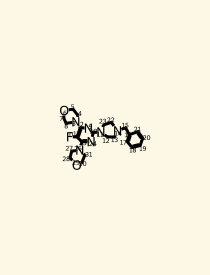 Fc1c(N2CCOCC2)nc(N2CCN(Cc3ccccc3)CC2)nc1N1CCOCC1